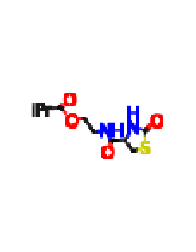 CC(C)C(=O)OCCNC(=O)[C@@H]1CSC(=O)N1